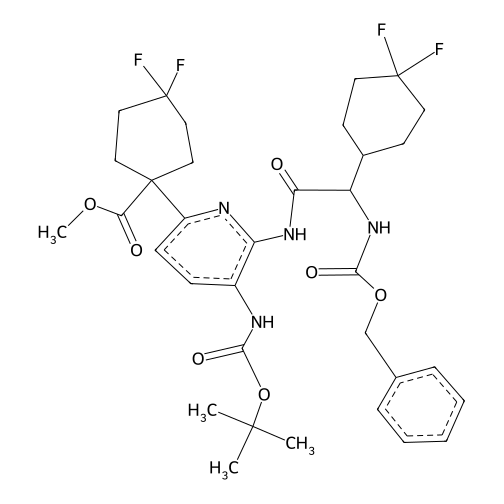 COC(=O)C1(c2ccc(NC(=O)OC(C)(C)C)c(NC(=O)C(NC(=O)OCc3ccccc3)C3CCC(F)(F)CC3)n2)CCC(F)(F)CC1